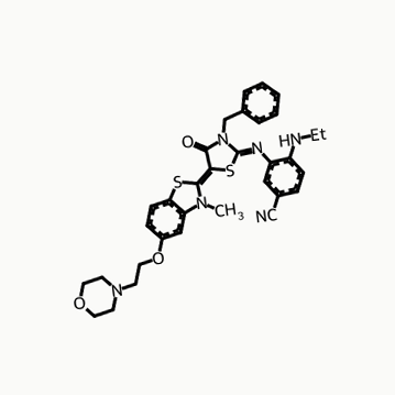 CCNc1ccc(C#N)cc1N=C1SC(=C2Sc3ccc(OCCN4CCOCC4)cc3N2C)C(=O)N1Cc1ccccc1